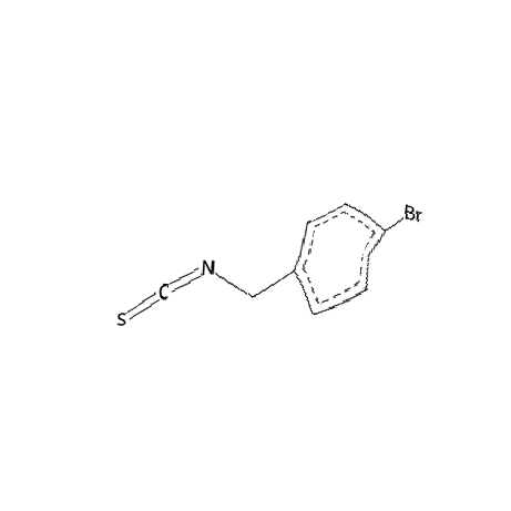 S=C=NCc1ccc(Br)cc1